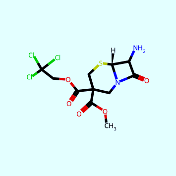 COC(=O)C1(C(=O)OCC(Cl)(Cl)Cl)CS[C@@H]2C(N)C(=O)N2C1